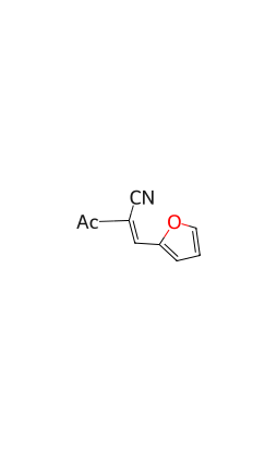 CC(=O)/C(C#N)=C/c1ccco1